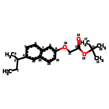 CCC(C)c1ccc2cc(OCC(=O)OC(C)(C)C)ccc2c1